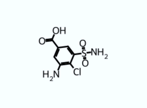 Nc1cc(C(=O)O)cc(S(N)(=O)=O)c1Cl